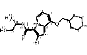 CCc1nc2c(OCC3CCCCC3)cccn2c1C(=O)N[C@H](C)CO